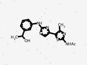 CC(=O)Nc1nc(C)c(-c2csc(Nc3cccc(C(C)O)c3)n2)s1